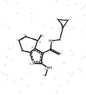 C=C(NCC1CC1)c1c(NC)sc2c1C(C)CCC2